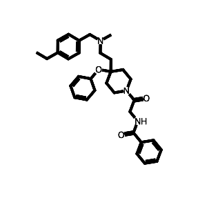 CCc1ccc(CN(C)CCC2(OC3C=CC=CC3)CCN(C(=O)CNC(=O)c3ccccc3)CC2)cc1